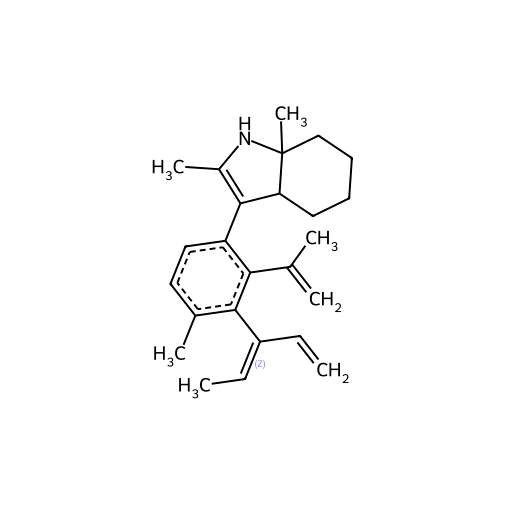 C=C/C(=C/C)c1c(C)ccc(C2=C(C)NC3(C)CCCCC23)c1C(=C)C